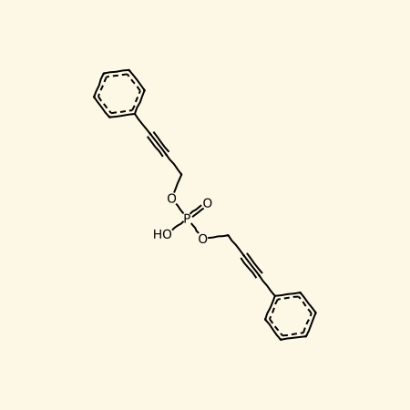 O=P(O)(OCC#Cc1ccccc1)OCC#Cc1ccccc1